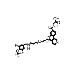 O=C(O)CNC(=O)c1ccc2c(c1)nc(OCCOCCCCNCc1cc(F)c(OC(F)(F)F)c(F)c1)c1ccncc12